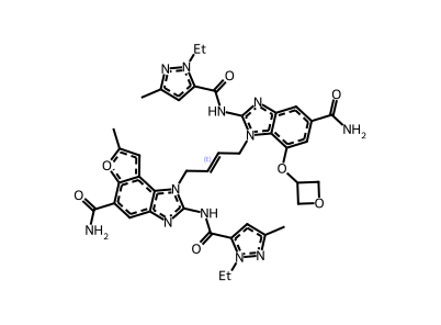 CCn1nc(C)cc1C(=O)Nc1nc2cc(C(N)=O)cc(OC3COC3)c2n1C/C=C/Cn1c(NC(=O)c2cc(C)nn2CC)nc2cc(C(N)=O)c3oc(C)cc3c21